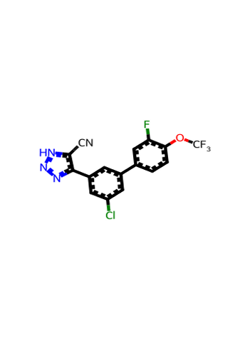 N#Cc1[nH]nnc1-c1cc(Cl)cc(-c2ccc(OC(F)(F)F)c(F)c2)c1